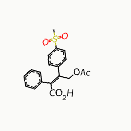 CC(=O)OCC(=C(C(=O)O)c1ccccc1)c1ccc(S(C)(=O)=O)cc1